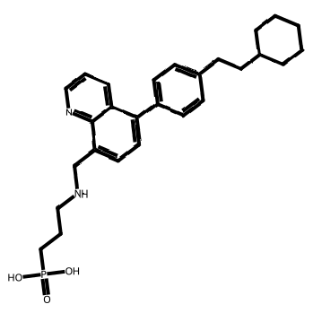 O=P(O)(O)CCCNCc1ccc(-c2ccc(CCC3CCCCC3)cc2)c2cccnc12